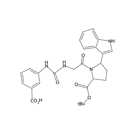 CC(C)(C)OC(=O)C1CCC(c2c[nH]c3ccccc23)N1C(=O)CNC(=O)Nc1cccc(C(=O)O)c1